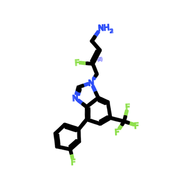 NC/C=C(\F)Cn1cnc2c(-c3cccc(F)c3)cc(C(F)(F)F)cc21